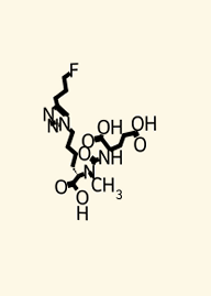 CN(C(=O)NC(CCC(=O)O)C(=O)O)[C@@H](CCCCn1cc(CCCF)nn1)C(=O)O